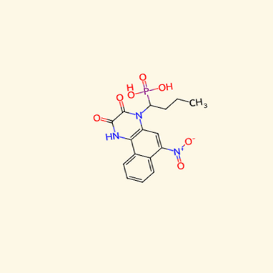 CCCC(n1c(=O)c(=O)[nH]c2c3ccccc3c([N+](=O)[O-])cc21)P(=O)(O)O